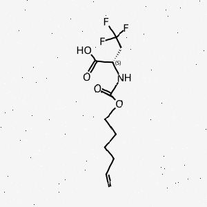 C=CCCCCOC(=O)N[C@@H](CC(F)(F)F)C(=O)O